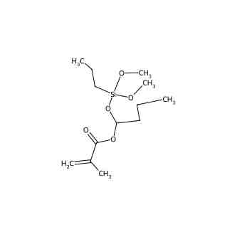 C=C(C)C(=O)OC(CCC)O[Si](CCC)(OC)OC